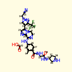 Cc1cc(Nc2nccn3c(-c4cn(CC#N)nc4C(F)(F)F)cnc23)ccc1C(=O)NCC(=O)N[C@H]1CCNC1.O=CO